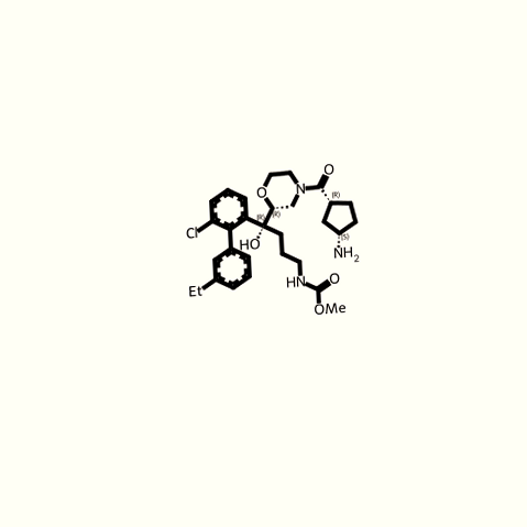 CCc1cccc(-c2c(Cl)cccc2[C@](O)(CCCNC(=O)OC)[C@H]2CN(C(=O)[C@@H]3CC[C@H](N)C3)CCO2)c1